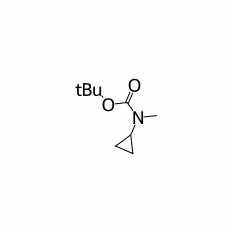 CN(C(=O)OC(C)(C)C)C1CC1